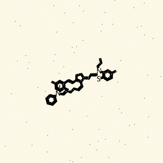 CCCN1/C(=C/C=C2\CCC(/C=C/c3cc(C)ccc3C)=C2/C=C\CC/C=C/Nc2ccccc2)Sc2ccc(C)cc21